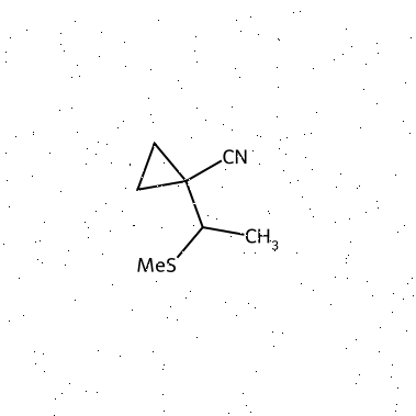 CSC(C)C1(C#N)CC1